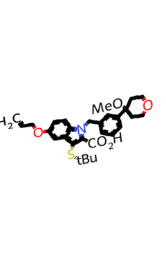 C=CCOc1ccc2c(c1)c(SC(C)(C)C)c(C(=O)O)n2Cc1cccc(C2(OC)CCOCC2)c1